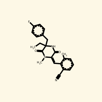 CCC1(Cc2ccc(F)cc2)NC(=O)C(=Cc2c(C)cccc2C#N)N(C)C1=O